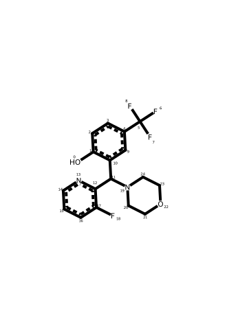 Oc1ccc(C(F)(F)F)cc1C(c1ncccc1F)N1CCOCC1